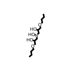 CCCCOCC(O)CN(O)CC(O)COCCCC